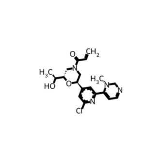 C=CC(=O)N1C[C@@H](c2cc(Cl)nc(C3=CC=NCN3C)c2)O[C@H]([C@H](C)O)C1